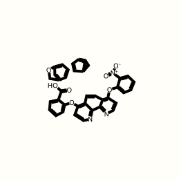 C1=CC2=CC=C1C2.O=C(O)c1ccccc1Oc1ccnc2c1ccc1c(Oc3ccccc3[N+](=O)[O-])ccnc12.c1cc2cc(c1)OC2